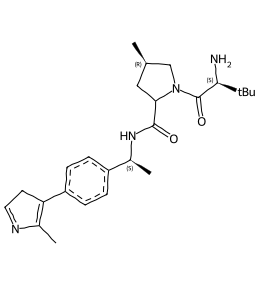 CC1=C(c2ccc([C@H](C)NC(=O)C3C[C@@H](C)CN3C(=O)[C@@H](N)C(C)(C)C)cc2)CC=N1